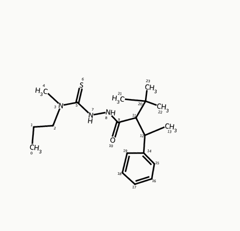 CCCN(C)C(=S)NNC(=O)C(C(C)c1ccccc1)C(C)(C)C